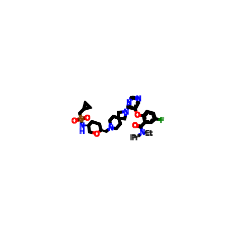 CCN(C(=O)c1cc(F)ccc1Oc1cncnc1N1CC2(CCN(C[C@@H]3CC[C@@H](NS(=O)(=O)CC4CC4)CO3)CC2)C1)C(C)C